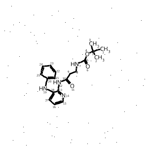 CC(C)(C)OC(=O)NCCC(=O)Nc1ncccc1Nc1ccccc1